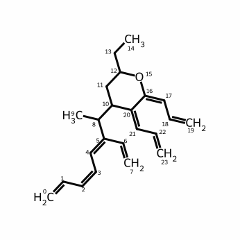 C=C/C=C\C=C(/C=C)C(C)C1CC(CC)OC(=C/C=C)/C1=C\C=C